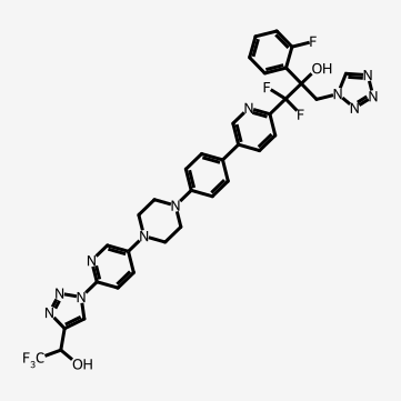 OC(c1cn(-c2ccc(N3CCN(c4ccc(-c5ccc(C(F)(F)C(O)(Cn6cnnn6)c6ccccc6F)nc5)cc4)CC3)cn2)nn1)C(F)(F)F